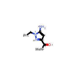 CNC(=O)c1cc(N)n(CC(C)C)n1